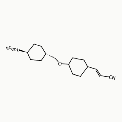 CCCCC[C@H]1CC[C@H](COC2CCC(C=CC#N)CC2)CC1